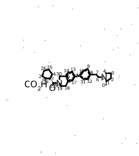 C[C@@H]1CCCN1CCc1ccc(-c2ccc3c(c2)CCN(C(=O)[C@H]2CCCC[C@@H]2C(=O)O)C3)cc1